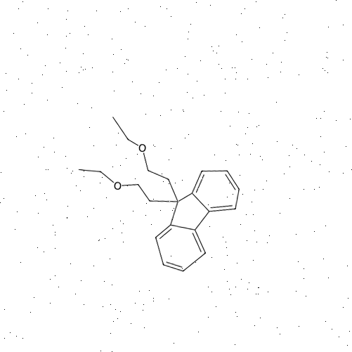 CCOCCC1(CCOCC)c2ccccc2-c2ccccc21